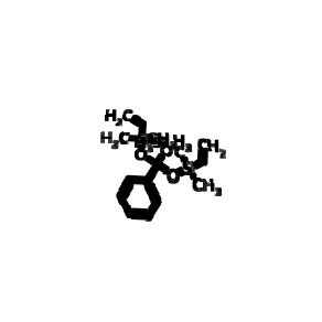 C=C[Si](C)(C)OC(O[SiH3])(O[Si](C)(C)C=C)c1ccccc1